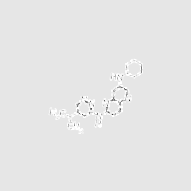 CC(C)c1cnnc(Nc2ccc3ncc(NC4CCCCC4)cc3n2)c1